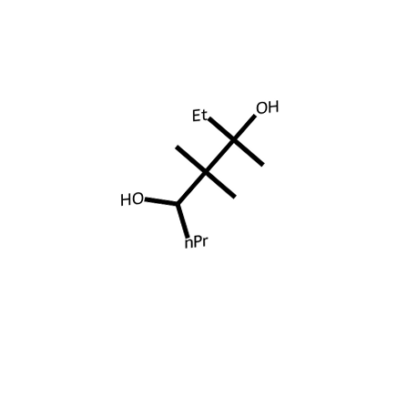 CCCC(O)C(C)(C)C(C)(O)CC